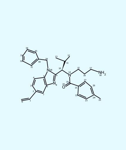 C=Cc1ccc2c(c1)nc([C@@H](C(C)C)N(CCCN)C(=O)c1ccc(C)cc1)n2Cc1ccccc1